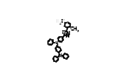 Cc1ccc(C)c(-c2nnc(-c3ccc(N(c4ccccc4)c4ccc(N(c5ccccc5)c5ccccc5)cc4)cc3)o2)c1